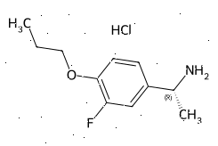 CCCOc1ccc([C@@H](C)N)cc1F.Cl